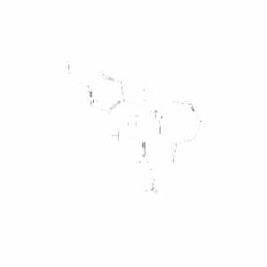 COc1ccc(S(=O)(=O)N2CC=CCC(COC(C)=O)C2C(=O)O)cc1